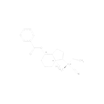 CC[C@](C)(C#N)C1CCC2[C@@H](OC(=O)c3ccccc3)CCC[C@@]21C